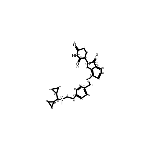 O=C1CCC(N2Cc3c(SCc4ccc(CCNC(C5CC5)C5CC5)cc4)cccc3C2=O)C(=O)N1